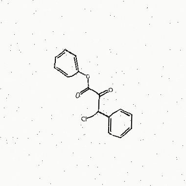 O=C(Oc1ccccc1)C(=O)C(Cl)c1ccccc1